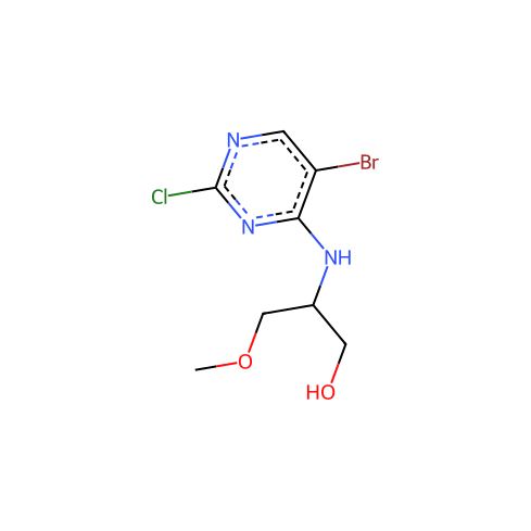 COCC(CO)Nc1nc(Cl)ncc1Br